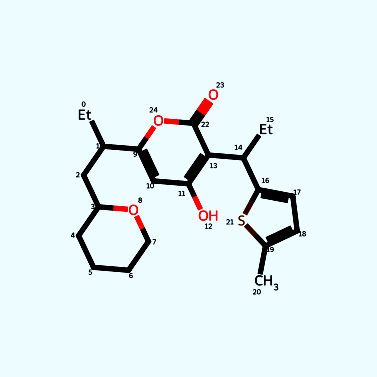 CCC(CC1CCCCO1)c1cc(O)c(C(CC)c2ccc(C)s2)c(=O)o1